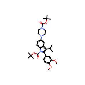 COc1ccc(-c2c(C(C)C)c3cc(N4CCN(C(=O)OC(C)(C)C)CC4)ccc3n2C(=O)OC(C)(C)C)cc1OC